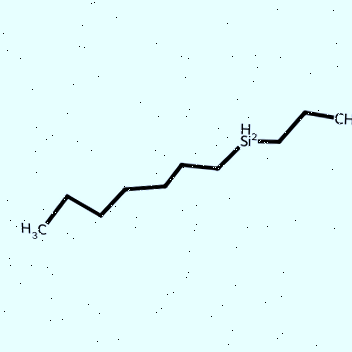 CCCCCCC[SiH2]CCC